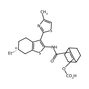 CC[C@@H]1CCc2c(sc(NC(=O)C3=C(OC(=O)O)C4CCC3CC4)c2-c2nc(C)cs2)C1